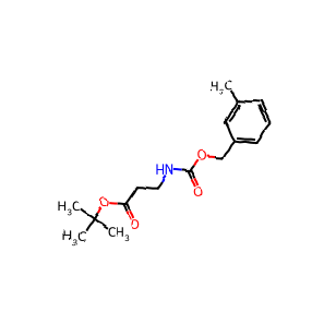 Cc1cccc(COC(=O)NCCC(=O)OC(C)(C)C)c1